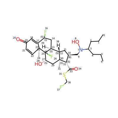 CCCC(CCC)N(O)C[C@@H]1C[C@H]2[C@@H]3C[C@H](F)C4=CC(=O)C=C[C@]4(C)[C@@]3(F)[C@@H](O)C[C@]2(C)[C@H]1C(=O)SCF